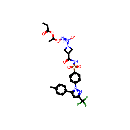 CCC(=O)OC(C)O/N=[N+](/[O-])N1CC(C(=O)NS(=O)(=O)c2ccc(-n3nc(C(F)(F)F)cc3-c3ccc(C)cc3)cc2)C1